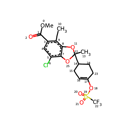 COC(=O)c1cc(Cl)c2c(c1C)OC(C)(C1CC=C(OS(=O)(=O)C(F)(F)F)CC1)O2